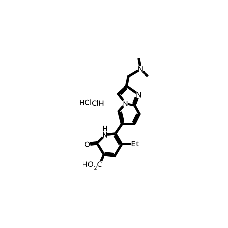 CCc1cc(C(=O)O)c(=O)[nH]c1-c1ccc2nc(CN(C)C)cn2c1.Cl.Cl